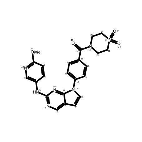 COc1ccc(Nc2ncc3ccn(-c4ccc(C(=O)N5CCS(=O)(=O)CC5)cc4)c3n2)cn1